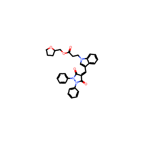 O=C(CCn1cc(C=C2C(=O)N(c3ccccc3)N(c3ccccc3)C2=O)c2ccccc21)OCC1CCCO1